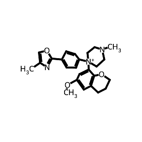 COc1cc2c(c([N+]3(c4ccc(-c5nc(C)co5)cc4)CCN(C)CC3)c1)OCCC2